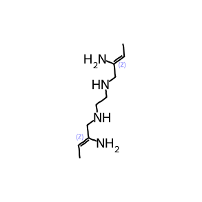 C/C=C(\N)CNCCNC/C(N)=C/C